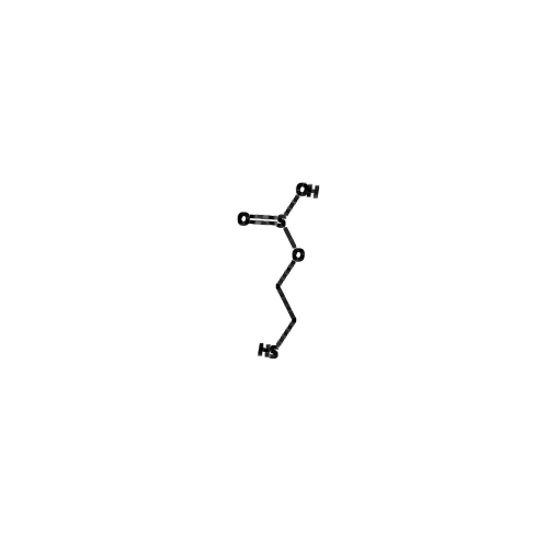 O=S(O)OCCS